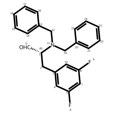 O=C[C@@H](Cc1cc(F)cc(F)c1)N(Cc1ccccc1)Cc1ccccc1